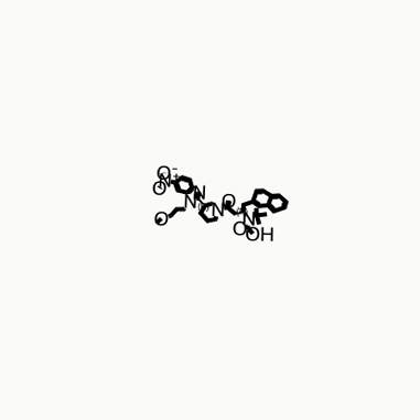 COCCCn1c([C@@H]2CCCN(C(=O)C[C@@H](Cc3ccc4ccccc4c3)N(C(=O)O)C(C)(C)C)C2)nc2ccc([N+](=O)[O-])cc21